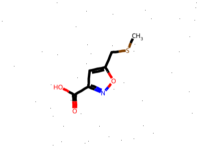 CSCc1cc(C(=O)O)no1